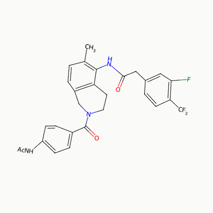 CC(=O)Nc1ccc(C(=O)N2CCc3c(ccc(C)c3NC(=O)Cc3ccc(C(F)(F)F)c(F)c3)C2)cc1